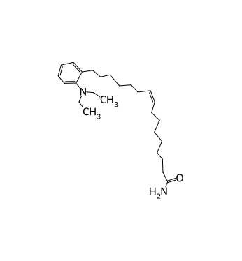 CCN(CC)c1ccccc1CCCCCC/C=C\CCCCCCCC(N)=O